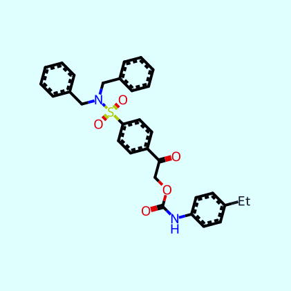 CCc1ccc(NC(=O)OCC(=O)c2ccc(S(=O)(=O)N(Cc3ccccc3)Cc3ccccc3)cc2)cc1